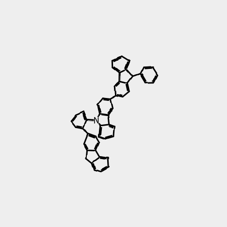 c1ccc(C2c3ccccc3-c3cc(-c4ccc5c(c4)c4ccccc4n5-c4ccccc4-c4ccc5c(c4)Cc4ccccc4-5)ccc32)cc1